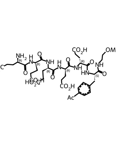 COCCNC(=O)[C@H](Cc1ccc(C(C)=O)cc1)NC(=O)[C@@H](CCC(=O)O)NC(=O)[C@@H](CCC(=O)O)NC(=O)[C@@H](CCC(=O)O)NC(=O)[C@@H](CCC(=O)O)NC(=O)[C@H](N)CCC(=O)O